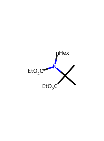 CCCCCCN(C(=O)OCC)C(C)(C)C(=O)OCC